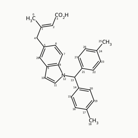 CC(=CC(=O)O)Cc1ccc2c(ccn2C(c2ccc(C)cc2)c2ccc(C)cc2)c1